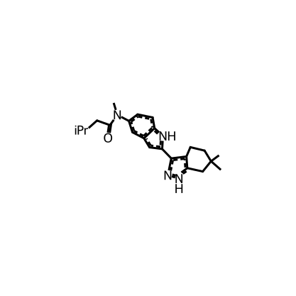 CC(C)CC(=O)N(C)c1ccc2[nH]c(-c3n[nH]c4c3CCC(C)(C)C4)cc2c1